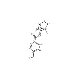 CCc1ccc(C(=O)OC2CC3CCC2(C)C3(C)C)cc1